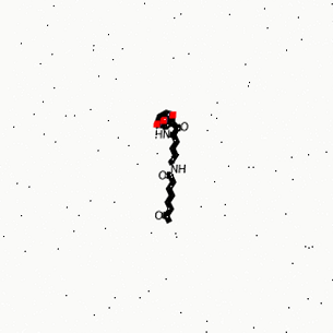 CC(=O)CCCCCC(=O)NCCCCC1Nc2c(\c3cc\c2=C/C=C\C=3)C1=O